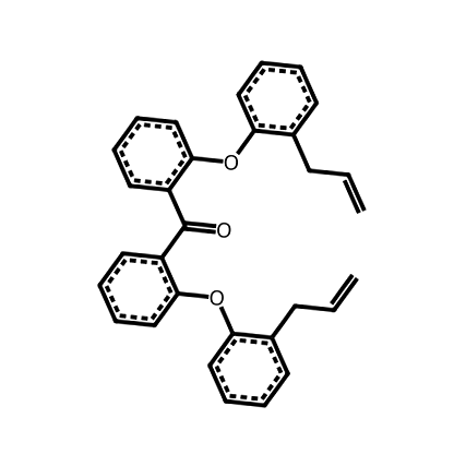 C=CCc1ccccc1Oc1ccccc1C(=O)c1ccccc1Oc1ccccc1CC=C